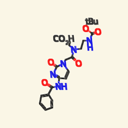 CC(C)(C)OC(=O)NCCN(CC(=O)O)C(=O)Cn1ccc(NC(=O)c2ccccc2)nc1=O